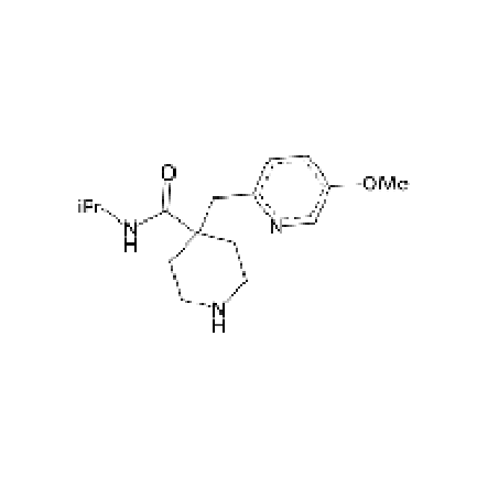 COc1ccc(CC2(C(=O)NC(C)C)CCNCC2)nc1